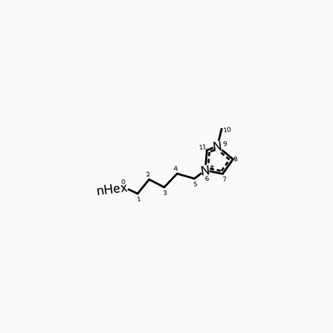 CCCCCCCCCCC[n+]1ccn(C)c1